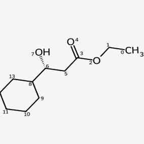 CCOC(=O)C[C@@H](O)C1CCCCC1